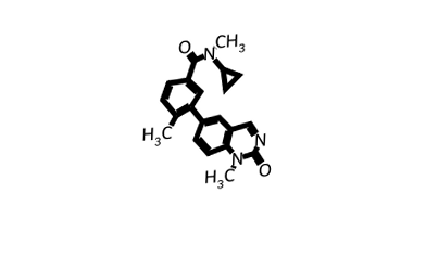 Cc1ccc(C(=O)N(C)C2CC2)cc1-c1ccc2c(cnc(=O)n2C)c1